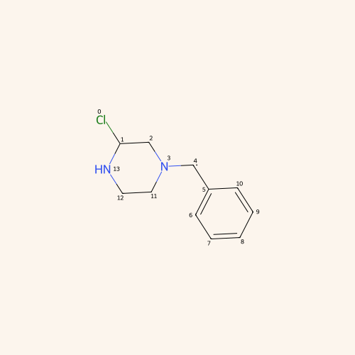 ClC1CN([CH]c2ccccc2)CCN1